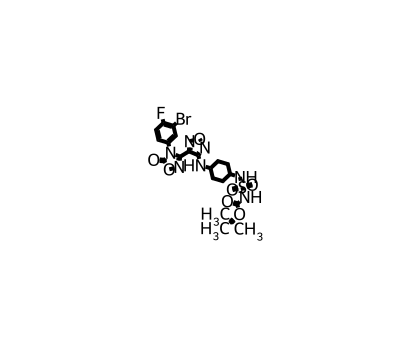 CC(C)(C)OC(=O)NS(=O)(=O)NC1CCC(Nc2nonc2-c2noc(=O)n2-c2ccc(F)c(Br)c2)CC1